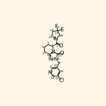 O=C([C@@H]1CCCc2nn(Cc3cncc(Cl)c3)c(=O)n21)N1CCC(F)(F)C1